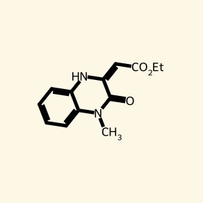 CCOC(=O)C=C1Nc2ccccc2N(C)C1=O